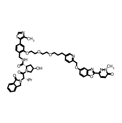 Cc1ncsc1-c1ccc(CNC(=O)[C@@H]2C[C@@H](O)CN2C(=O)[C@H](C(C)C)N2Cc3ccccc3C2=O)c(OCCOCCOCCCc2ccc(COc3ccc4oc(-c5ccc(=O)n(C)n5)nc4c3)nc2)c1